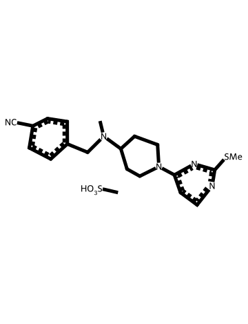 CS(=O)(=O)O.CSc1nccc(N2CCC(N(C)Cc3ccc(C#N)cc3)CC2)n1